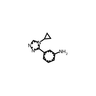 Nc1cccc(-c2nncn2C2CC2)c1